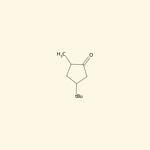 CC1CC(C(C)(C)C)CC1=O